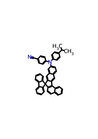 CC(C)c1ccc(N(c2ccc(C#N)cc2)c2ccc3cc4c(cc3c2)C2(c3ccccc3-c3ccccc32)c2ccc3ccccc3c2-4)cc1